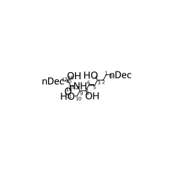 CCCCCCCCCCCCC(O)/C=C/C(O)C(CO)NC(=O)C(O)CCCCCCCCCC